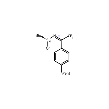 CCCCCc1ccc(/C(=N\[S@@+]([O-])C(C)(C)C)C(F)(F)F)cc1